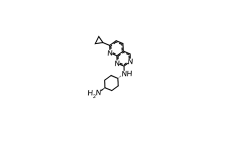 N[C@H]1CC[C@H](Nc2ncc3ccc(C4CC4)nc3n2)CC1